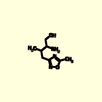 Cc1nc(CC(C)C(N)CO)no1